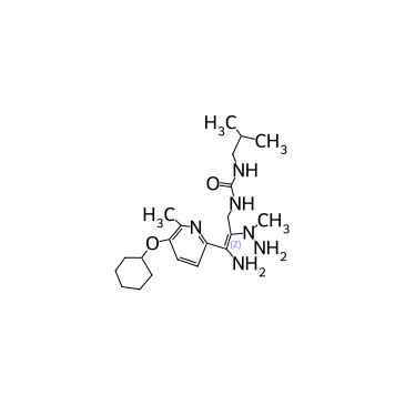 Cc1nc(/C(N)=C(\CNC(=O)NCC(C)C)N(C)N)ccc1OC1CCCCC1